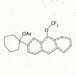 CC(=O)OC1(c2ccc3cc4ccccc4c(OC(F)(F)F)c3c2)CCCCC1